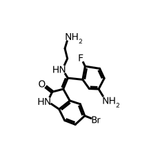 NCCN/C(=C1\C(=O)Nc2ccc(Br)cc21)c1cc(N)ccc1F